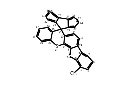 Clc1cccc2c1sc1c3c(ccc12)C1(c2ccccc2S3)c2ccccc2-c2ccccc21